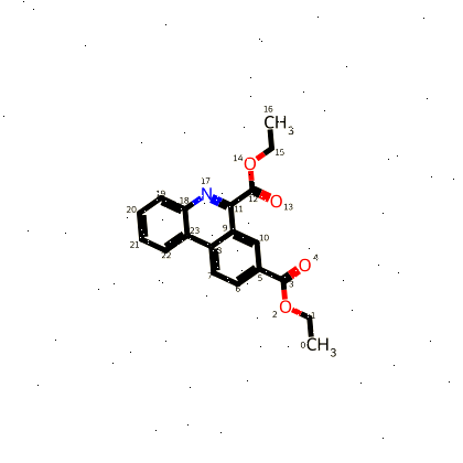 CCOC(=O)c1ccc2c(c1)c(C(=O)OCC)nc1ccccc12